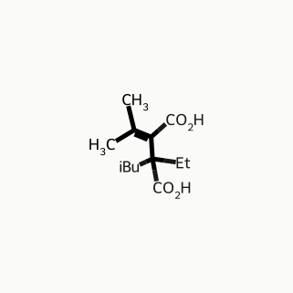 CCC(C)C(CC)(C(=O)O)C(C(=O)O)=C(C)C